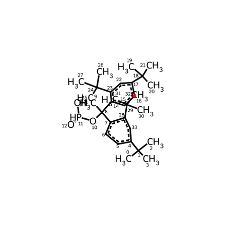 CC(C)(C)c1ccc(C(C)(O[PH](=O)O)c2ccc(C(C)(C)C)cc2C(C)(C)C)c(C(C)(C)C)c1